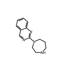 c1ccc2nc(N3CCCNCC3)ncc2c1